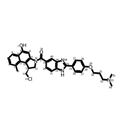 Cc1cccc2c(O)cc3c(c12)[C@H](CCl)CN3C(=O)c1ccc2[nH]c(-c3ccc(OCCCN(C)C)cc3)nc2c1